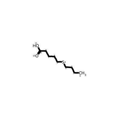 CCCCSCCCCC(=O)O